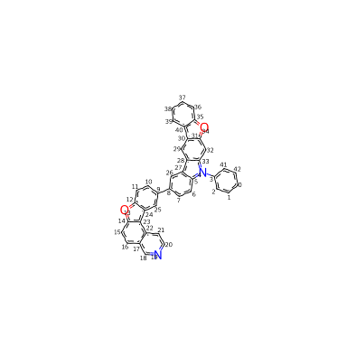 c1ccc(-n2c3ccc(-c4ccc5oc6ccc7cnccc7c6c5c4)cc3c3cc4c(cc32)oc2ccccc24)cc1